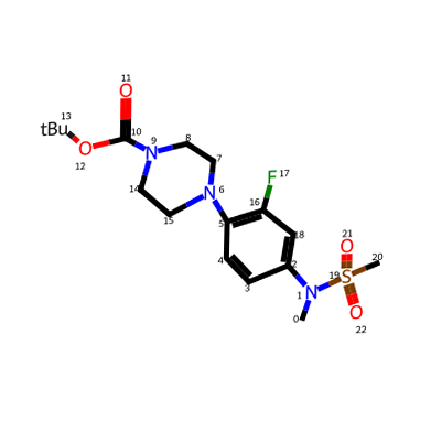 CN(c1ccc(N2CCN(C(=O)OC(C)(C)C)CC2)c(F)c1)S(C)(=O)=O